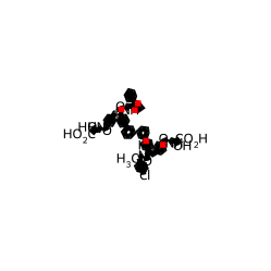 CC(NC(=O)N(Cc1ccc(C(=O)NCC(O)C(=O)O)cc1)c1ccc(C2CCCCC2)cc1)c1ccc(Cl)cc1.O=C(NCC(O)C(=O)O)c1ccc(CN(C(=O)NCc2ccccc2-c2ccccc2)c2ccc(C3CCCCC3)cc2)cc1